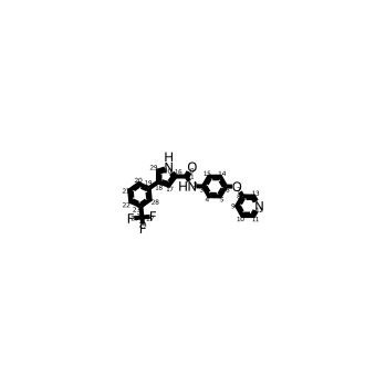 O=C(Nc1ccc(Oc2cccnc2)cc1)c1cc(-c2cccc(C(F)(F)F)c2)c[nH]1